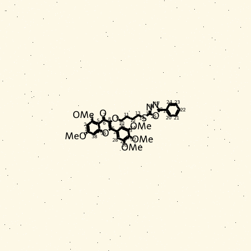 COc1cc(OC)c2c(=O)c(OCCCCSc3nnc(-c4ccccc4)o3)c(-c3cc(OC)c(OC)c(OC)c3)oc2c1